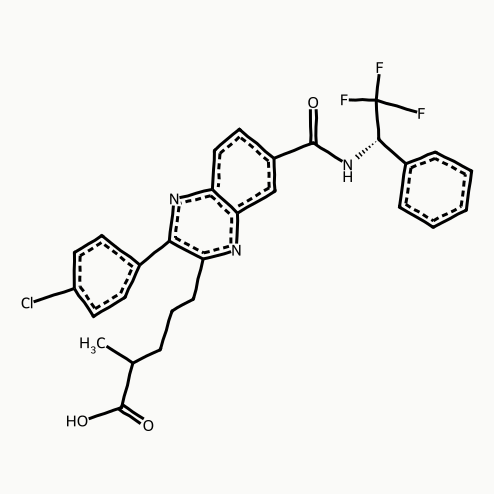 CC(CCCc1nc2cc(C(=O)N[C@@H](c3ccccc3)C(F)(F)F)ccc2nc1-c1ccc(Cl)cc1)C(=O)O